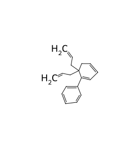 C=CCC1(CC=C)CC=CC=C1c1ccccc1